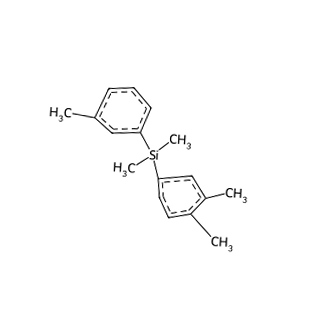 Cc1cccc([Si](C)(C)c2ccc(C)c(C)c2)c1